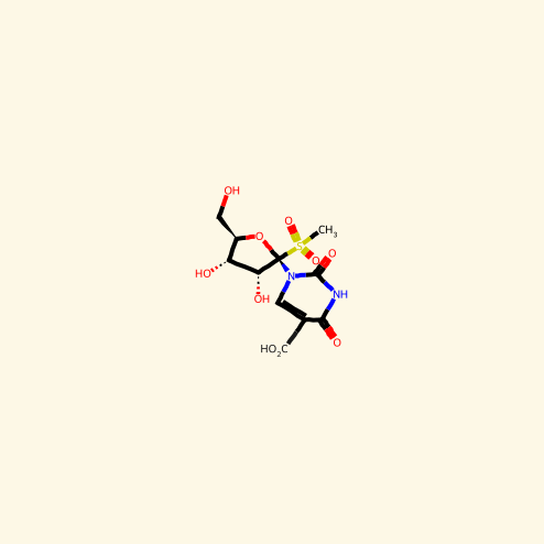 CS(=O)(=O)[C@@]1(n2cc(C(=O)O)c(=O)[nH]c2=O)O[C@H](CO)[C@@H](O)[C@H]1O